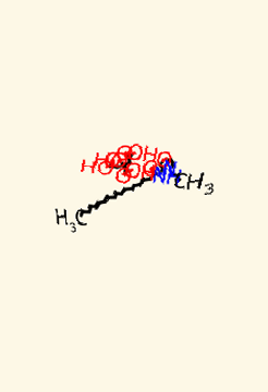 CCCCCCCCCCCCCCCCCC(=O)NC1COCCN1CCC.O=C(O)CC(O)(CC(=O)O)C(=O)O